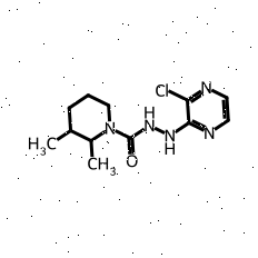 CC1CCCN(C(=O)NNc2nccnc2Cl)C1C